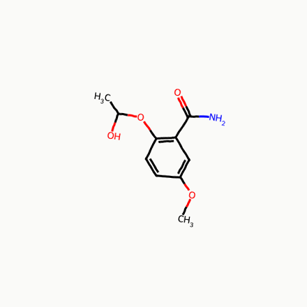 COc1ccc(OC(C)O)c(C(N)=O)c1